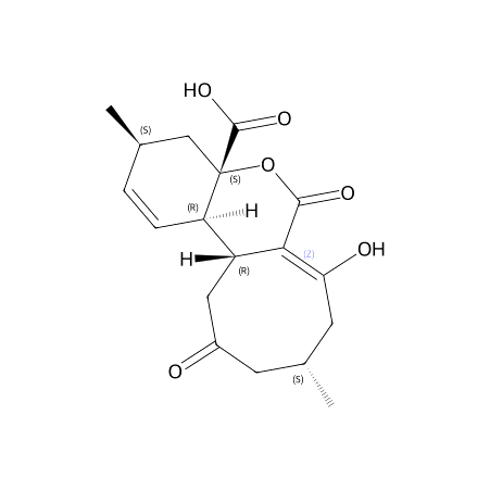 C[C@@H]1CC(=O)C[C@H]2/C(=C(/O)C1)C(=O)O[C@@]1(C(=O)O)C[C@H](C)C=C[C@H]21